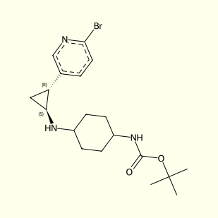 CC(C)(C)OC(=O)NC1CCC(N[C@H]2C[C@@H]2c2ccc(Br)nc2)CC1